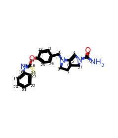 NC(=O)N1C=C2C(CCN2Cc2ccc(Oc3nc4ccccc4s3)cc2)C1